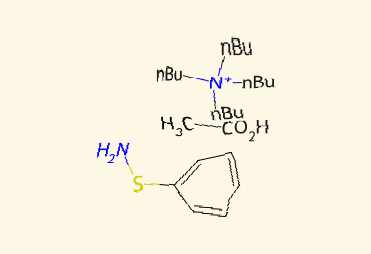 CC(=O)O.CCCC[N+](CCCC)(CCCC)CCCC.NSc1ccccc1